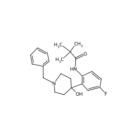 CC(C)(C)C(=O)Nc1ccc(F)cc1C1(O)CCN(Cc2ccccc2)CC1